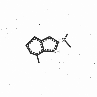 Cc1cccc2cc([SiH](C)C)[nH]c12